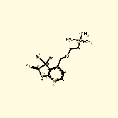 C[Si](C)(C)CCOCc1ccnc2c1C(Br)(Br)C(=O)N2